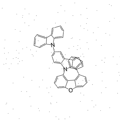 c1ccc(-c2cccc3oc4cccc(-n5c6ccccc6c6cc(-n7c8ccccc8c8ccccc87)ccc65)c4c23)cc1